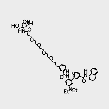 CCN(CC)c1ccc(NC(=O)c2cccc(CCCOCCOCCOCCOCCC(=O)NC(CO)(CO)CO)c2)c(-c2cc(C(=O)N[C@H]3CCCc4ccccc43)ccn2)c1